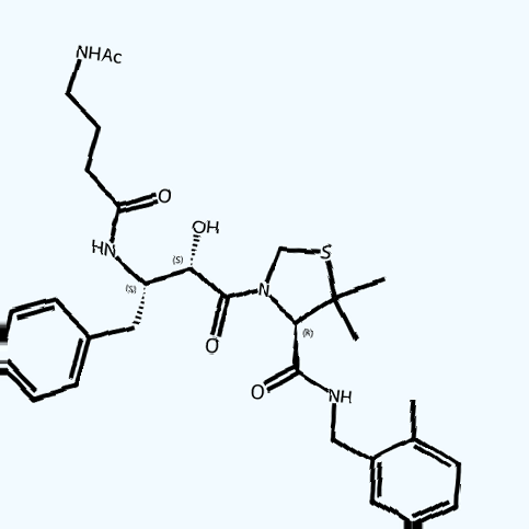 CC(=O)NCCCC(=O)N[C@@H](Cc1ccccc1)[C@H](O)C(=O)N1CSC(C)(C)[C@H]1C(=O)NCc1ccccc1C